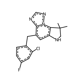 CC1(C)CNc2cc(Cc3ccc(F)cc3Cl)c3ncnn3c21